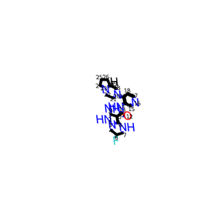 NC1NN2CC(F)CNC2C1C(=O)Nc1cnccc1N1CCN2CCC[C@H]2C1